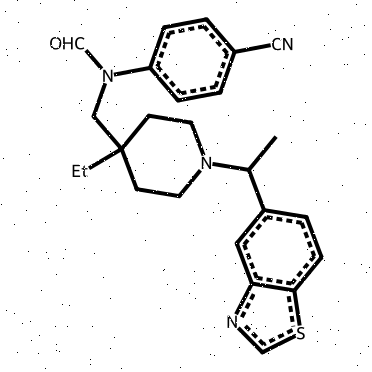 CCC1(CN(C=O)c2ccc(C#N)cc2)CCN(C(C)c2ccc3scnc3c2)CC1